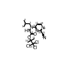 CC(C)CN(NC(=O)OC(C)(C)C(Cl)(Cl)Cl)c1ccnc(C#N)n1